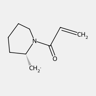 [CH2][C@@H]1CCCCN1C(=O)C=C